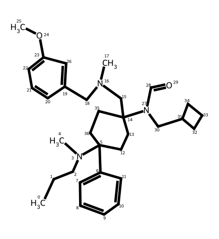 CCCN(C)C1(c2ccccc2)CCC(CN(C)Cc2cccc(OC)c2)(N(C=O)CC2CCC2)CC1